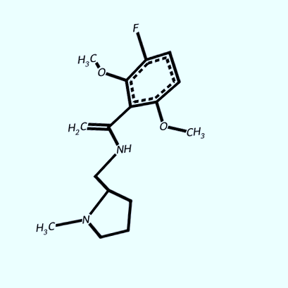 C=C(NCC1CCCN1C)c1c(OC)ccc(F)c1OC